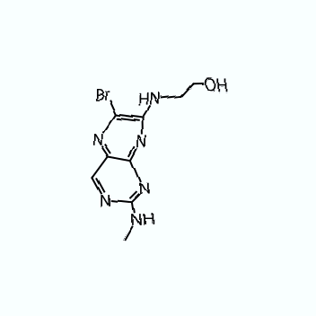 CNc1ncc2nc(Br)c(NCCO)nc2n1